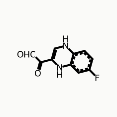 O=CC(=O)C1=CNc2ccc(F)cc2N1